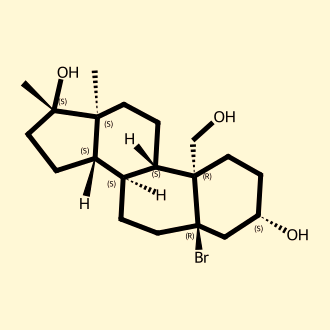 C[C@]1(O)CC[C@H]2[C@@H]3CC[C@@]4(Br)C[C@@H](O)CC[C@]4(CO)[C@H]3CC[C@@]21C